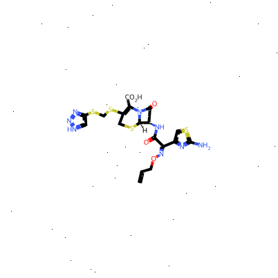 C=CCO/N=C(\C(=O)N[C@@H]1C(=O)N2C(C(=O)O)=C(SCSc3c[nH]nn3)CS[C@H]12)c1csc(N)n1